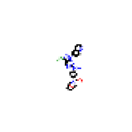 O=C([C@@H]1CC[C@@H](Nc2ncc3c(Br)nn(-c4ccc5ncccc5c4)c3n2)C1)N1CC2CCC(C1)O2